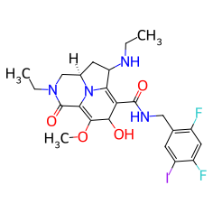 CCNC1C[C@@H]2CN(CC)C(=O)C3=C(OC)C(O)C(C(=O)NCc4cc(I)c(F)cc4F)=C1N32